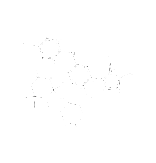 CN1C(C)(C)CC(Nc2nc(Nc3ccc(OC4CCOCC4)c(-n4nnn(C)c4=O)c3)ncc2F)CC1(C)C